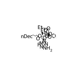 C#C[C@]1(CO[P@@](=O)(N[C@@H](C)C(=O)OCC(CC)CC)Oc2ccccc2)O[C@@H](n2cnc3c(N)nc(F)nc32)C[C@@H]1OC(=O)CCCCCCCCCCCCC